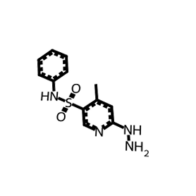 Cc1cc(NN)ncc1S(=O)(=O)Nc1ccccc1